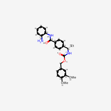 CC[C@H](NC(=O)OCc1ccc(OC)c(OC)c1)c1ccc(C(=O)Nc2ccccc2N)cc1